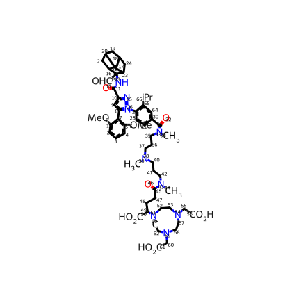 COc1cccc(OC)c1-c1cc(C(=O)NC2(C=O)C3CC4CC(C3)CC2C4)nn1-c1ccc(C(=O)N(C)CCCN(C)CCCN(C)C(=O)CCC(C(=O)O)N2CCN(CC(=O)O)CCN(CC(=O)O)CC2)cc1C(C)C